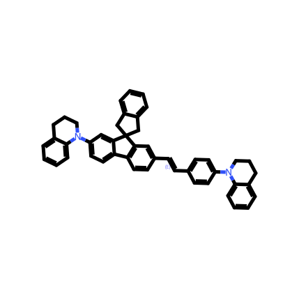 C(=C\c1ccc2c(c1)C1(Cc3ccccc3C1)c1cc(N3CCCc4ccccc43)ccc1-2)/c1ccc(N2CCCc3ccccc32)cc1